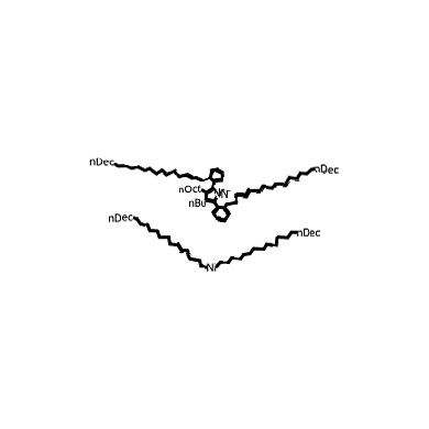 CCCCCCCCCCCCCCCCCCCCCC=CCCc1ccccc1C1=C(CCCC)C(CCCCCCCC)=C(c2ccccc2CCC=CCCCCCCCCCCCCCCCCCCCCC)[N+]1=[N-].CCCCCCCCCCCCCCCCCCCCCCC[CH2][Ni][CH2]CCCCCCCCCCCCCCCCCCCCCCC